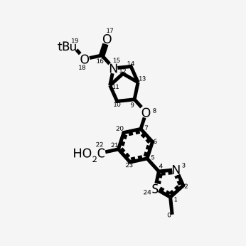 Cc1cnc(-c2cc(OC3CC4CC3CN4C(=O)OC(C)(C)C)cc(C(=O)O)c2)s1